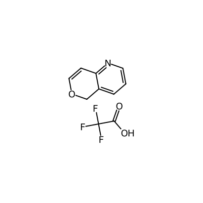 C1=Cc2ncccc2CO1.O=C(O)C(F)(F)F